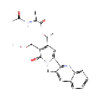 CCC(=O)NC(C)C(=O)O[C@@H](CC)c1cc2n(c(=O)c1COC=O)Cc1cc3ccccc3nc1-2